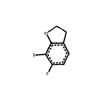 Fc1ccc2c(c1F)OCC2